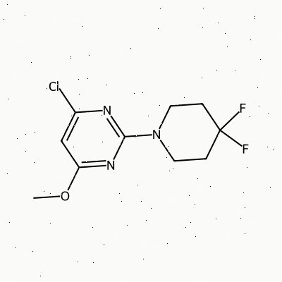 COc1cc(Cl)nc(N2CCC(F)(F)CC2)n1